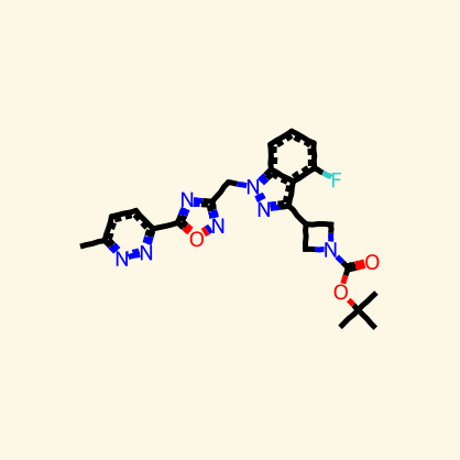 Cc1ccc(-c2nc(Cn3nc(C4CN(C(=O)OC(C)(C)C)C4)c4c(F)cccc43)no2)nn1